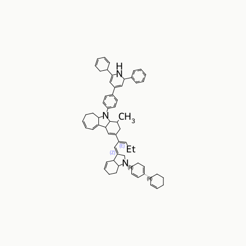 CC/C=C(\C=C1/CN([C@H]2C=CC([C@H]3C=CCCC3)=CC2)C2CCC=CC12)C1=CC2C3=CC=CCCC3N(c3ccc(C4=CC(c5ccccc5)NC(C5C=CC=CC5)=C4)cc3)C2C(C)C1